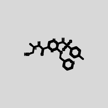 Cc1ccc(S(=O)(=O)Nc2ncc(C(=O)N[C@H](C)CO)nc2OCc2cccnc2)cc1